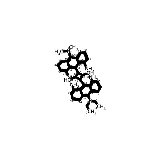 CCN(CC)c1c2cccc(N)c2c(C2C(O)C(c3c4c(N)cccc4c(N(C)C)c4cccc(N)c34)C2O)c2c(N)cccc12